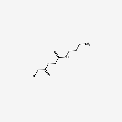 NCCCNC(=O)CNC(=O)CBr